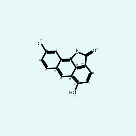 O=C1Sc2c3cc(Cl)ccc3cc3c(O)ccc1c23